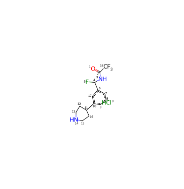 Cl.O=C(NC(F)c1cccc(C2CCNCC2)c1)C(F)(F)F